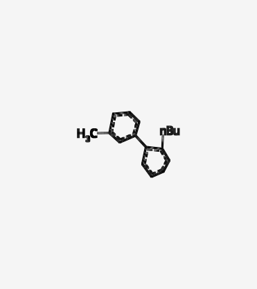 CCCCc1ccccc1-c1cccc(C)c1